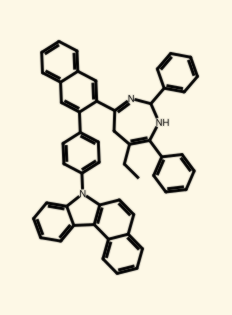 CCC1=C(c2ccccc2)NC(c2ccccc2)N=C(c2cc3ccccc3cc2-c2ccc(-n3c4ccccc4c4c5ccccc5ccc43)cc2)C1